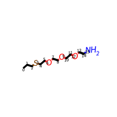 CCCSCCOCCOCCOCCN